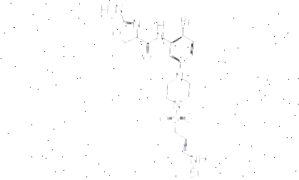 CCN/C=C/CS(=O)(=O)N1CCN(c2ccc(Br)c(NC(=O)C3COC(N)=N3)c2)CC1